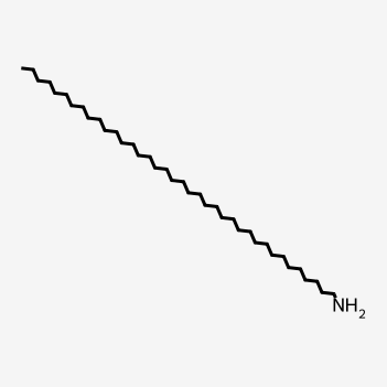 CCCCCCCCCCCCCCCCCCCCCCCCCCCCCCCCCCCCCCN